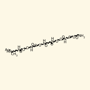 CC(=O)CN[C@H](C)CCCCNC(=O)COCCOCCNC(=O)COCCOCCNC(=O)CCCC(=O)NCCOCCOCC(=O)NCCOCCOCC(=O)CN